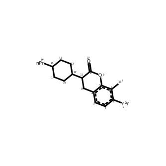 CCCc1ccc2c(c1F)OC(=O)C(C1CCC(CCC)CC1)C2